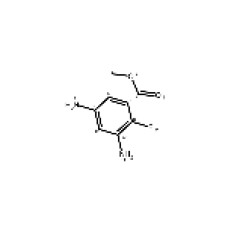 COC=O.Nc1ccc(F)c(N)c1